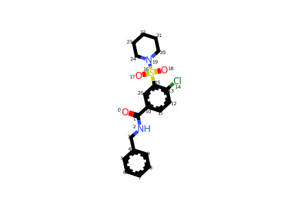 O=C(NCc1ccccc1)c1ccc(Cl)c(S(=O)(=O)N2CCCCC2)c1